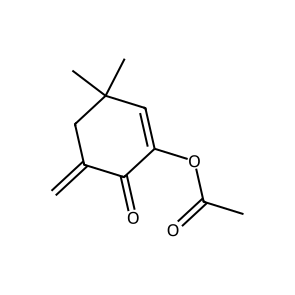 C=C1CC(C)(C)C=C(OC(C)=O)C1=O